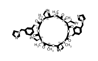 CC(C)C[C@H]1C(=O)O[C@H](Cc2cccc(Cn3ccnc3)c2)C(=O)N(C)[C@@H](CC(C)C)C(=O)O[C@H](C)C(=O)N(C)[C@@H](CC(C)C)C(=O)O[C@H](Cc2ccc(Cn3ccnc3)cc2)C(=O)N(C)[C@@H](CC(C)C)C(=O)O[C@H](C)C(=O)N1C